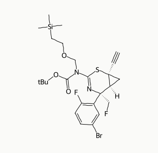 C#C[C@]12C[C@H]1[C@@](CF)(c1cc(Br)ccc1F)N=C(N(COCC[Si](C)(C)C)C(=O)OC(C)(C)C)S2